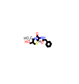 O=C(Cc1ccccc1)NC1C(=O)N2C(C(=O)O)=C(CO)CS[C@H]12